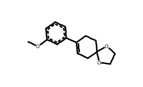 COc1cccc(C2=CCC3(CC2)OCCO3)c1